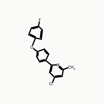 Cc1cc(Cl)cc(-c2ccc(Oc3ccc(F)cc3)cc2)n1